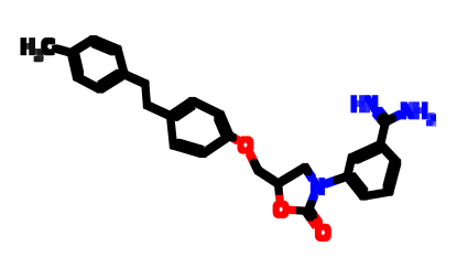 Cc1ccc(CCc2ccc(OCC3CN(c4cccc(C(=N)N)c4)C(=O)O3)cc2)cc1